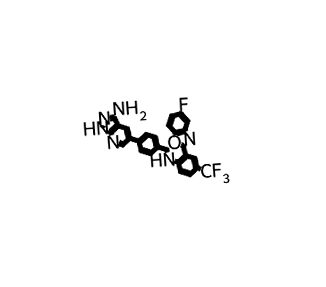 Nc1n[nH]c2ncc(-c3ccc(CNc4ccc(C(F)(F)F)cc4-c4nc5cc(F)ccc5o4)cc3)cc12